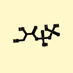 O=C(OP(=O)(O)OP(=O)(O)O)C(O)CO